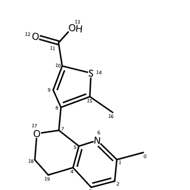 Cc1ccc2c(n1)C(c1cc(C(=O)O)sc1C)OCC2